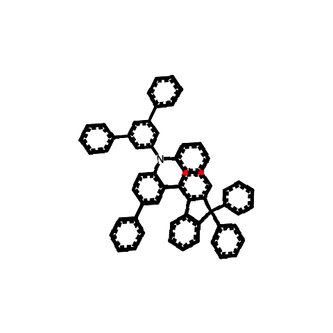 c1ccc(-c2cc(-c3ccccc3)cc(N(c3ccccc3)c3ccc(-c4ccccc4)cc3-c3cccc4c3-c3ccccc3C4(c3ccccc3)c3ccccc3)c2)cc1